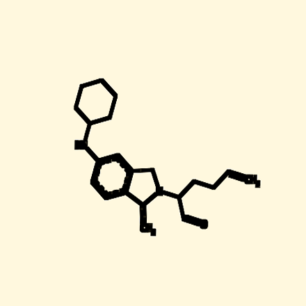 C=CCCC(C=O)N1Cc2cc(NC3CCCCC3)ccc2C1=C